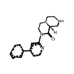 O=C1[C@H]2CNCCN2CCN1c1cc(-c2ccccc2)ccn1